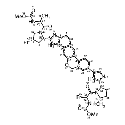 CC[C@H]1C[C@@H](c2nc3ccc4cc5c(cc4c3[nH]2)OCc2cc(-c3cnc([C@@H]4CC[C@H](C)N4C(=O)[C@@H](NC(=O)OC)C(C)C)[nH]3)ccc2-5)N(C(=O)[C@H](C)NC(=O)OC)C1